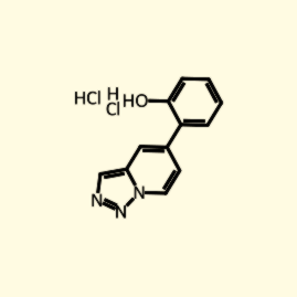 Cl.Cl.Oc1ccccc1-c1ccn2nncc2c1